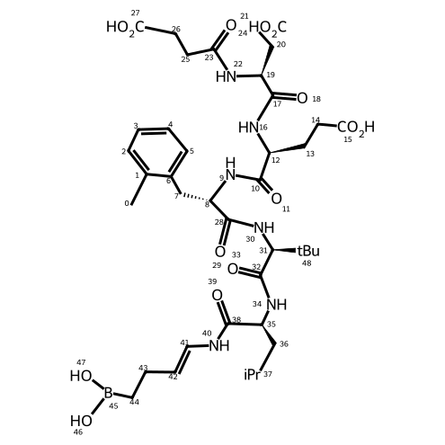 Cc1ccccc1C[C@H](NC(=O)[C@H](CCC(=O)O)NC(=O)[C@H](CC(=O)O)NC(=O)CCC(=O)O)C(=O)N[C@H](C(=O)N[C@@H](CC(C)C)C(=O)NC=CCCB(O)O)C(C)(C)C